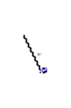 CCCCCCCCCCCCCCCC[N+]1(C)C=CN=C1.[Br-]